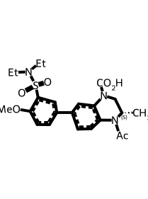 CCN(CC)S(=O)(=O)c1cc(-c2ccc3c(c2)N(C(=O)O)C[C@H](C)N3C(C)=O)ccc1OC